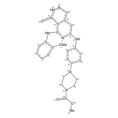 COc1ccccc1Nc1nc(Nc2ccc(N3CCN(C(=O)OC(C)(C)C)CC3)cc2)cc2cn[nH]c(=O)c12